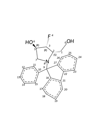 OC[C@H]1[C@@H](F)[C@H](O)CN1C1(c2ccccc2)c2ccccc2-c2ccccc21